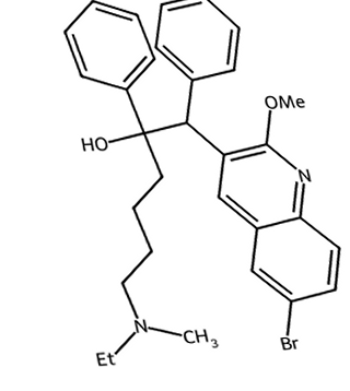 CCN(C)CCCCC(O)(c1ccccc1)C(c1ccccc1)c1cc2cc(Br)ccc2nc1OC